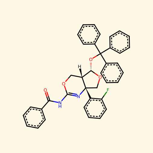 O=C(NC1=N[C@@]2(c3ccccc3F)CO[C@@H](OC(c3ccccc3)(c3ccccc3)c3ccccc3)[C@H]2CO1)c1ccccc1